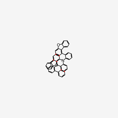 c1ccc(-c2cccc3cccc(-c4ccccc4N(c4ccccc4-c4cccc5oc6ccccc6c45)c4cccc5c4oc4ccccc45)c23)cc1